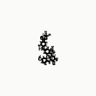 COc1ccc(Cn2c(=O)c(F)cn(-c3nn(C)c4cc(N[C@@H]5CCN(C(=O)OC(C)(C)C)C[C@H]5C)ccc34)c2=O)cc1